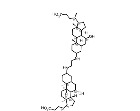 C[C@H](CCC(=O)O)[C@H]1CC[C@H]2C3[C@@H](O)CC4CC(NCCNC5CC[C@@]6(C)C(C5)C[C@H](O)C5[C@@H]7CC[C@H]([C@H](C)CCC(=O)O)[C@@]7(C)CC[C@@H]56)CC[C@]4(C)[C@H]3CC[C@]12C